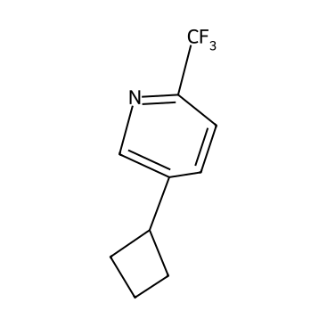 FC(F)(F)c1ccc(C2CCC2)cn1